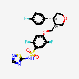 O=S(=O)(Nc1ncns1)c1cc(F)c(OC[C@@H]2COCC[C@H]2c2ccc(F)cc2)cc1F